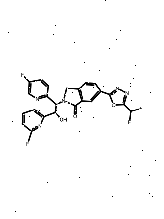 O=C1c2cc(-c3nnc(C(F)F)o3)ccc2CN1[C@H](c1ccc(F)cn1)[C@@H](O)c1cccc(F)n1